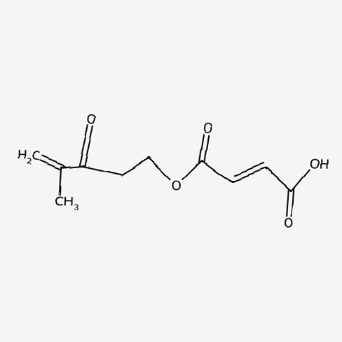 C=C(C)C(=O)CCOC(=O)C=CC(=O)O